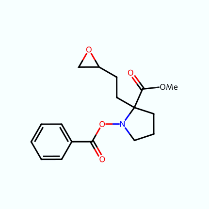 COC(=O)C1(CCC2CO2)CCCN1OC(=O)c1ccccc1